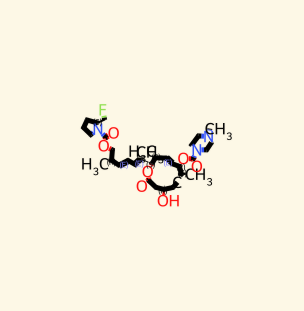 C/C(=C\C=C\[C@@H](C)COC(=O)N1CCC[C@H]1CF)[C@H]1OC(=O)C[C@H](O)CC[C@H](C)[C@@H](OC(=O)N2CCN(C)CC2)/C=C/[C@@H]1C